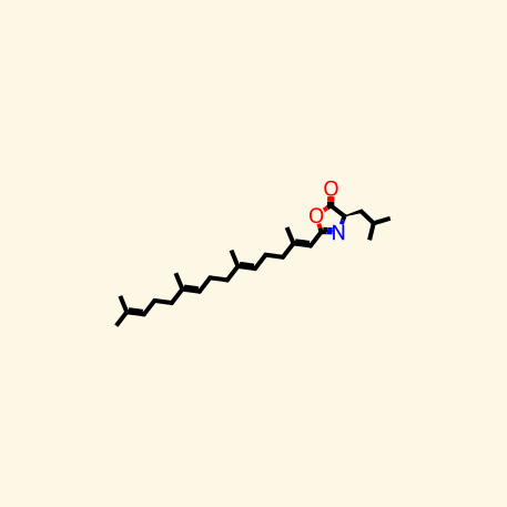 CC(C)=CCC/C(C)=C/CC/C(C)=C/CC/C(C)=C/C1=N[C@H](CC(C)C)C(=O)O1